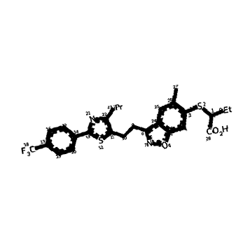 CCC(Sc1cc2onc(CCc3sc(-c4ccc(C(F)(F)F)cc4)nc3C(C)C)c2cc1C)C(=O)O